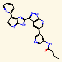 CCCC(=O)Nc1cncc(-c2cnc3[nH]nc(-c4nc5c(-c6ccccn6)ccnc5[nH]4)c3c2)c1